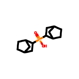 O=P(O)(C1CC2CCC1C2)C1CC2CCC1C2